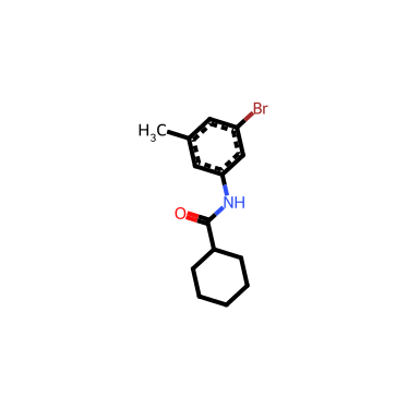 Cc1cc(Br)cc(NC(=O)C2CCCCC2)c1